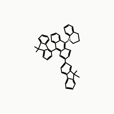 CC1(C)c2ccccc2-c2ccc(-c3ccc4c(N5CCCc6ccccc65)c5ccccc5c(-c5cccc6c5-c5ccccc5C6(C)C)c4c3)cc21